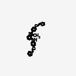 Cc1c(-c2ccc(OCCN3CCCC3)cc2)sc2cccc(Nc3ccc(OCCN4CCCC4)cc3)c12